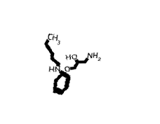 CCCCCNC1(OCC(O)CN)C=CC=CC1